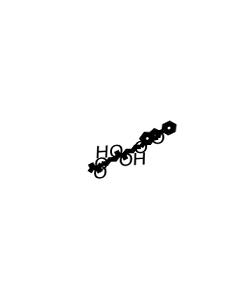 C=C(C)C(=O)OCCCC(O)C(O)CCCOc1ccc2cc(-c3ccccc3)oc2c1